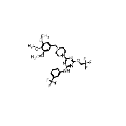 COc1cc(CN2CCN(c3nc(Nc4cccc(C(F)(F)F)c4)nc(OCC(F)(F)F)n3)CC2)cc(OC)c1OC